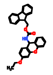 CCOc1ccc2c(c1)Oc1ccccc1C2NC(=O)OCC1c2ccccc2-c2ccccc21